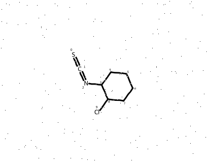 S=C=NC1CCCCC1Cl